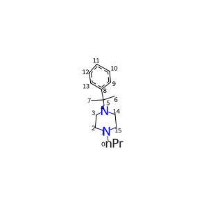 CCCN1CCN(C(C)(C)c2ccccc2)CC1